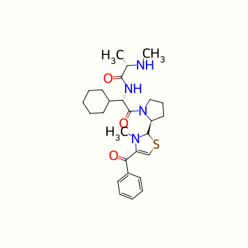 CN[C@@H](C)C(=O)N[C@H](C(=O)N1CCC[C@H]1C1SC=C(C(=O)c2ccccc2)N1C)C1CCCCC1